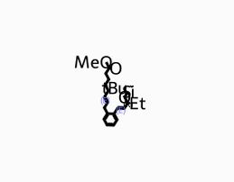 CC[C@H](/C=C/c1ccccc1C/C=C/CCCCC(=O)OC)O[Si](C)(C)C(C)(C)C